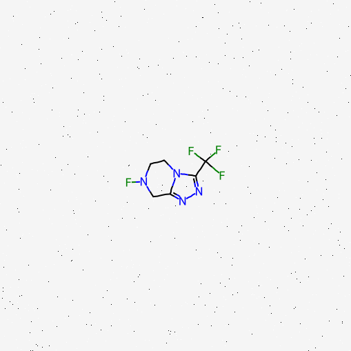 FN1CCn2c(nnc2C(F)(F)F)C1